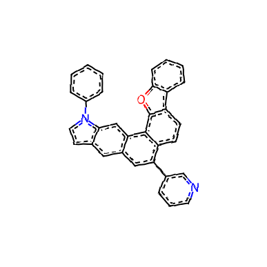 c1ccc(-n2ccc3cc4cc(-c5cccnc5)c5ccc6c7ccccc7oc6c5c4cc32)cc1